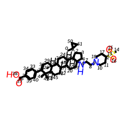 CC1([C@@H]2CC[C@]3(NCCN4CCC(S(C)(=O)=O)CC4)CC[C@]4(C)[C@H](CC[C@@H]5[C@@]6(C)CC=C(c7ccc(C(=O)O)cc7)C(C)(C)[C@@H]6CC[C@]54C)[C@@H]23)CC1